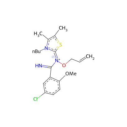 C=CCO/[N+](C(=N)c1cc(Cl)ccc1OC)=c1\sc(C)c(C)n1CCCC